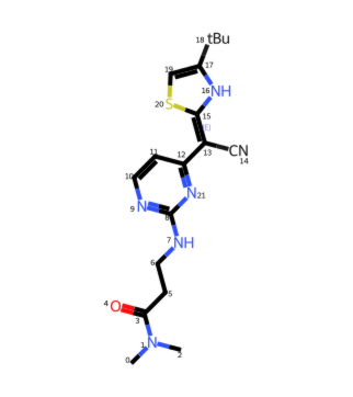 CN(C)C(=O)CCNc1nccc(/C(C#N)=C2/NC(C(C)(C)C)=CS2)n1